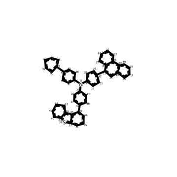 c1ccc(-c2ccc(N(c3ccc(-c4cc5ccccc5c5ccccc45)cc3)c3ccc(-c4cccc5sc6ccccc6c45)cc3)cc2)cc1